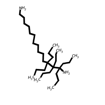 CCCC(N)(CCC)C(CCC)(CCC)C(CCC)(CCC)CCCCCCCCCCCN